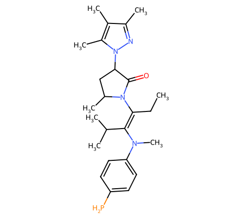 CC/C(=C(/C(C)C)N(C)c1ccc(P)cc1)N1C(=O)C(n2nc(C)c(C)c2C)CC1C